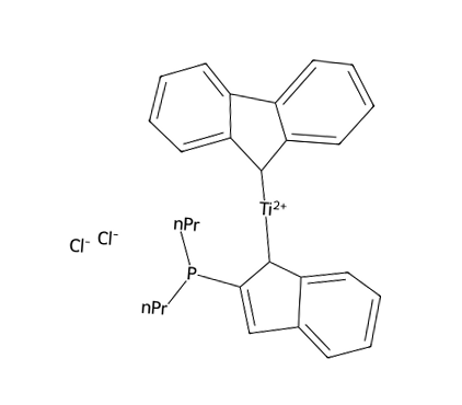 CCCP(CCC)C1=Cc2ccccc2[CH]1[Ti+2][CH]1c2ccccc2-c2ccccc21.[Cl-].[Cl-]